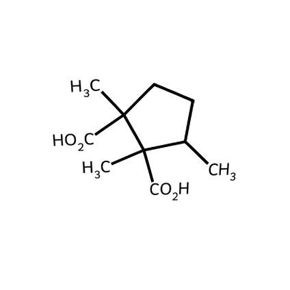 CC1CCC(C)(C(=O)O)C1(C)C(=O)O